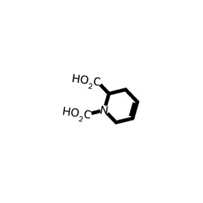 O=C(O)C1CC=CCN1C(=O)O